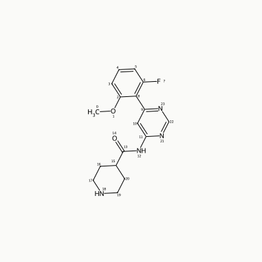 COc1cccc(F)c1-c1cc(NC(=O)C2CCNCC2)ncn1